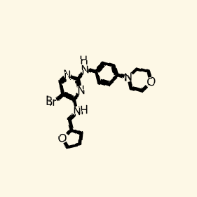 Brc1cnc(Nc2ccc(N3CCOCC3)cc2)nc1NCC1CCCO1